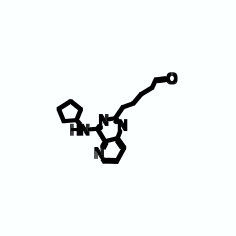 O=CCCCCc1nc(NC2CCCC2)c2ncccc2n1